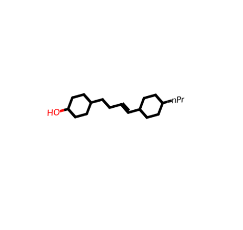 CCCC1CCC(C=CCCC2CCC(O)CC2)CC1